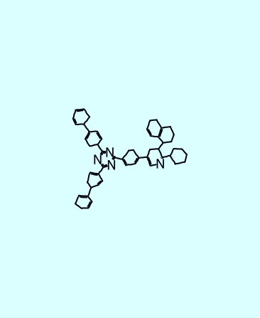 C1=CCC(C2=CCC(c3nc(C4=CCC(C5=CCCC=C5)C=C4)nc(C4=CC=C(C5=CN=C(C6CCCCC6)C(C6CCCC7=C6C=CCC7)C5)CC4)n3)C=C2)C=C1